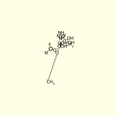 CCCCCCCCCCCCCCCCCOC[C@@H](COc1cc(F)cc(C#N)c1)COP(=O)(O)OC[C@@]1(C)O[C@@H](c2ccc3c(N)ncnn23)[C@H](O)[C@@H]1O